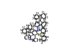 C=CC1=C(/C=C\C)c2ccc(N(c3ccc4c(c3)C3(c5ccccc5-c5ccccc53)c3ccccc3-4)c3cccc4c3sc3ccccc34)cc2C1(c1ccccc1)c1ccccc1